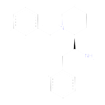 NC(Cc1ccccc1)[C@@H]1CCCCN1Cc1ccccc1